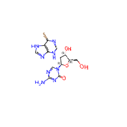 Nc1ncn([C@H]2C[C@H](O)[C@@H](CO)O2)c(=O)n1.S=c1nc[nH]c2nc[nH]c12